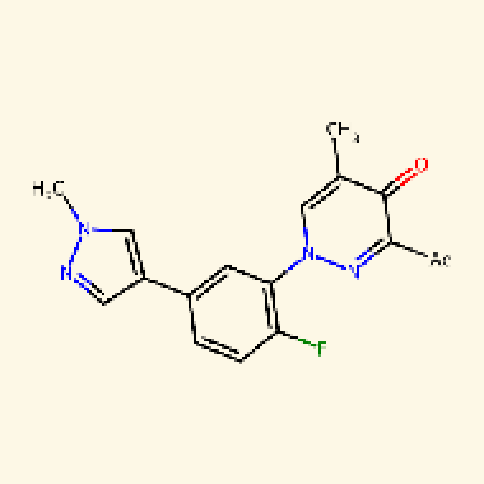 CC(=O)c1nn(-c2cc(-c3cnn(C)c3)ccc2F)cc(C)c1=O